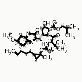 C=CCCCC1CC1(C)OC(=O)N[C@H](C(=O)N1C[C@H](Oc2nc3cc(OC)ccc3nc2Cl)[C@@H](C)[C@H]1C(=O)OCC(C)C)C(C)(C)C